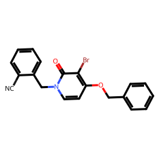 N#Cc1ccccc1Cn1ccc(OCc2ccccc2)c(Br)c1=O